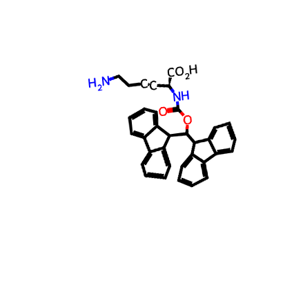 NCCCC[C@H](NC(=O)OC(C1c2ccccc2-c2ccccc21)C1c2ccccc2-c2ccccc21)C(=O)O